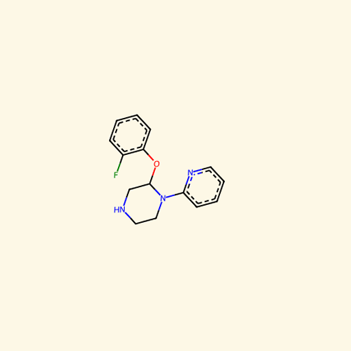 Fc1ccccc1OC1CNCCN1c1ccccn1